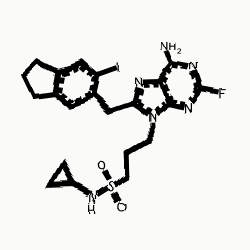 Nc1nc(F)nc2c1nc(Cc1cc3c(cc1I)CCC3)n2CCCS(=O)(=O)NC1CC1